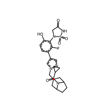 O=C1CN(c2c(O)ccc(-c3cnn(CC4CC5CCC(C4)N5C(=O)C4CC4)c3)c2F)S(=O)(=O)N1